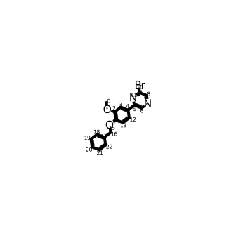 COc1cc(-c2cncc(Br)n2)ccc1OCc1ccccc1